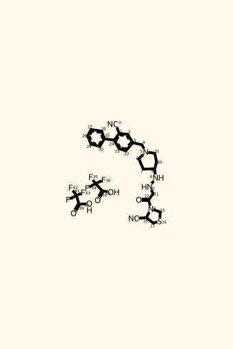 N#Cc1cc(CN2CCC(NNCC(=O)N3CSCC3C#N)CC2)ccc1-c1ccccc1.O=C(O)C(F)(F)F.O=C(O)C(F)(F)F